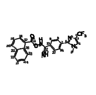 Cn1cc(C(F)(F)F)nc1-c1ccc(C(=N)NOC(=O)c2cccc3ccccc23)cc1